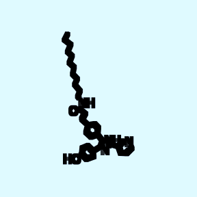 CCCCCCCCCCCCNC(=O)C=Cc1ccc(-c2[nH]c(-c3cccnc3)nc2-c2ccc(O)cc2)cc1